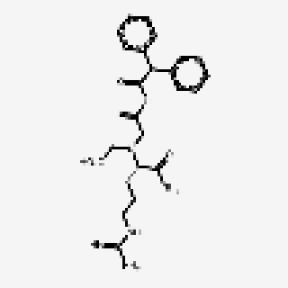 N=C(N)NCCC[C@@H](C(N)=O)N(CC(=O)O)CC(=O)OC(=O)C(c1ccccc1)c1ccccc1